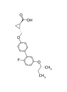 CC[C@@H](C)Oc1ccc(F)c(-c2ccc(OC[C@@H]3C[C@H]3C(=O)O)cc2)c1